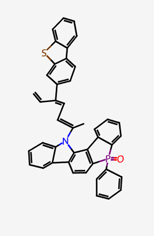 C=C/C(=C\C=C(/C)n1c2ccccc2c2ccc3c(c21)-c1ccccc1P3(=O)c1ccccc1)c1ccc2c(c1)sc1ccccc12